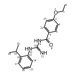 CCOc1ccc(C(=O)NC(=N)Nc2ccccc2C(C)C)cc1